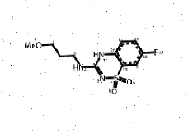 COCCCNC1=NS(=O)(=O)c2cc(F)ccc2N1